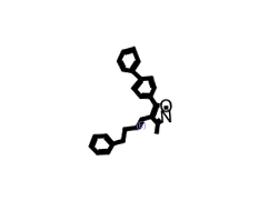 Cc1noc(-c2ccc(-c3ccccc3)cc2)c1/C=C/CCc1ccccc1